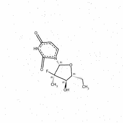 CC[C@H]1O[C@@H](n2ccc(=O)[nH]c2=O)[C@](C)(F)[C@@H]1O